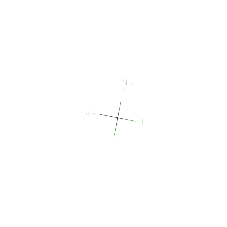 O=[C]C(Cl)(Cl)Cl.[NaH]